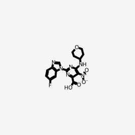 O=C(O)c1nc(-n2cnc3ccc(F)cc32)nc(NC2CCOCC2)c1[N+](=O)[O-]